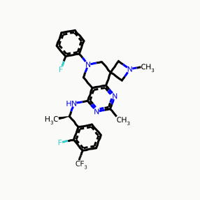 Cc1nc(N[C@H](C)c2cccc(C(F)(F)F)c2F)c2c(n1)C1(CN(C)C1)CN(c1ccccc1F)C2